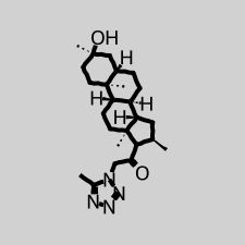 Cc1nnnn1CC(=O)C1[C@H](C)C[C@H]2[C@@H]3CC[C@H]4C[C@](C)(O)CC[C@]4(C)[C@H]3CC[C@]12C